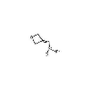 CC(C)[S+]([O-])N=C1COC1